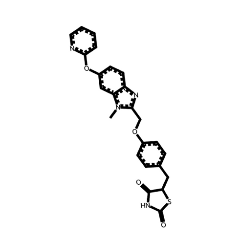 Cn1c(COc2ccc(CC3SC(=O)NC3=O)cc2)nc2ccc(Oc3ccccn3)cc21